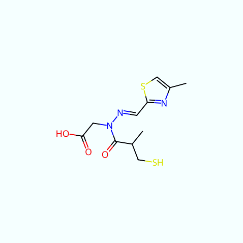 Cc1csc(C=NN(CC(=O)O)C(=O)C(C)CS)n1